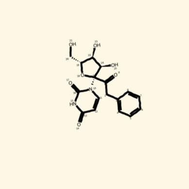 O=C(Cc1ccccc1)[C@@]1(n2ccc(=O)[nH]c2=O)O[C@H](CO)[C@@H](O)[C@H]1O